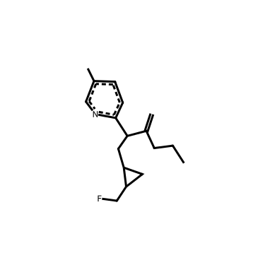 C=C(CCC)C(CC1CC1CF)c1ccc(C)cn1